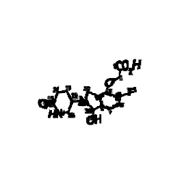 O=C(O)COc1c(F)ccc2c1CN(C1CCC(=O)NC1)C2O